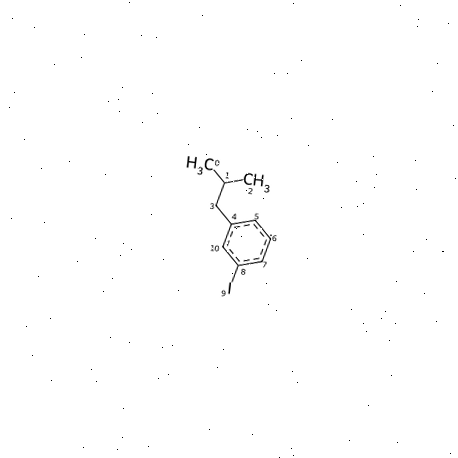 CC(C)Cc1c[c]cc(I)c1